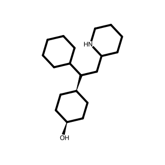 O[C@H]1CC[C@@H](C(CC2CCCCN2)C2CCCCC2)CC1